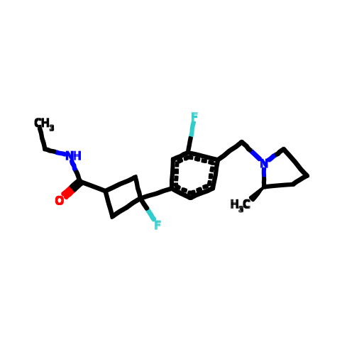 CCNC(=O)C1CC(F)(c2ccc(CN3CCC[C@H]3C)c(F)c2)C1